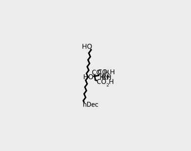 CCCCCCCCCCCCCCCCCCCCCCCCCCO.O=C(O)CC(O)(CC(=O)O)C(=O)O.[KH].[KH]